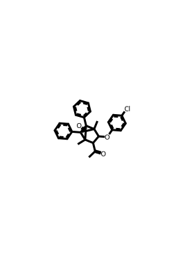 CC(=O)C1C(Oc2ccc(Cl)cc2)C2(C)C(=O)C1(C)C(c1ccccc1)=C2c1ccccc1